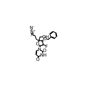 [N-]=[N+]=NCC[C@]1(CO)O[C@@H](n2ccc(=O)[nH]c2=O)[C@H](F)[C@@H]1OCc1ccccc1